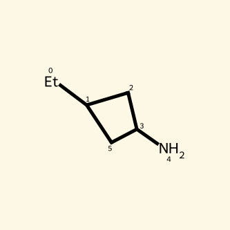 CCC1CC(N)C1